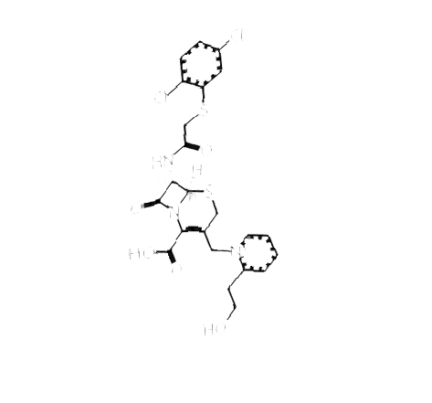 O=C(CSc1cc(Cl)ccc1Cl)N[C@H]1C(=O)N2C(C(=O)O)=C(C[n+]3ccccc3CCO)CS[C@H]12